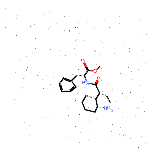 CC[C@@H](C(=O)N[C@H](Cc1ccccc1)C(=O)OC)[C@H]1CCCC[C@H]1N